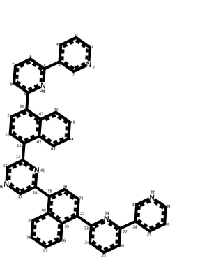 c1cncc(-c2cccc(-c3ccc(-c4cncc(-c5ccc(-c6cccc(-c7cccnc7)n6)c6ccccc56)n4)c4ccccc34)n2)c1